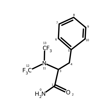 NC(=O)C(Cc1ccccc1)N(C(F)(F)F)C(F)(F)F